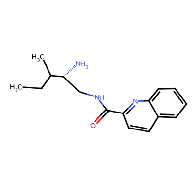 CCC(C)[C@H](N)CNC(=O)c1ccc2ccccc2n1